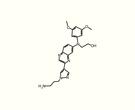 COc1cc(OC)cc(N(CCO)c2ccc3ncc(-c4cnn(CCCN)c4)nc3c2)c1